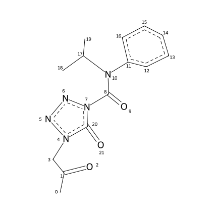 CC(=O)Cn1nnn(C(=O)N(c2ccccc2)C(C)C)c1=O